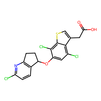 O=C(O)Cc1csc2c(Cl)c(OC3CCc4nc(Cl)ccc43)cc(Cl)c12